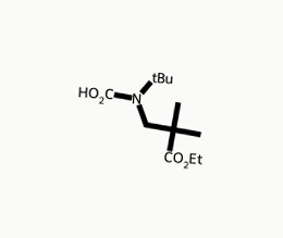 CCOC(=O)C(C)(C)CN(C(=O)O)C(C)(C)C